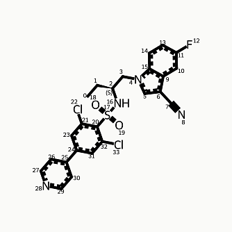 CC[C@@H](Cn1cc(C#N)c2cc(F)ccc21)NS(=O)(=O)c1c(Cl)cc(-c2ccncc2)cc1Cl